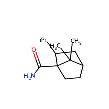 CC(C)C1CC2CCC1(C(N)=O)C2(C)C